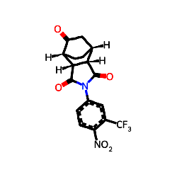 O=C1C[C@H]2CC[C@@H]1[C@H]1C(=O)N(c3ccc([N+](=O)[O-])c(C(F)(F)F)c3)C(=O)[C@@H]21